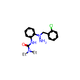 CCN(CC)C(=O)Nc1ccccc1N(N)Cc1ccccc1Cl